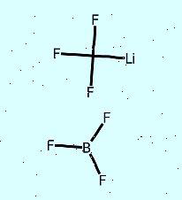 FB(F)F.[Li][C](F)(F)F